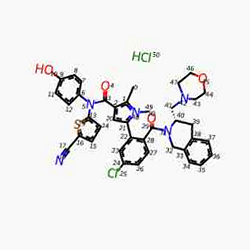 Cc1c(C(=O)N(c2ccc(O)cc2)c2ccc(C#N)s2)cc(-c2cc(Cl)ccc2C(=O)N2Cc3ccccc3C[C@H]2CN2CCOCC2)n1C.Cl